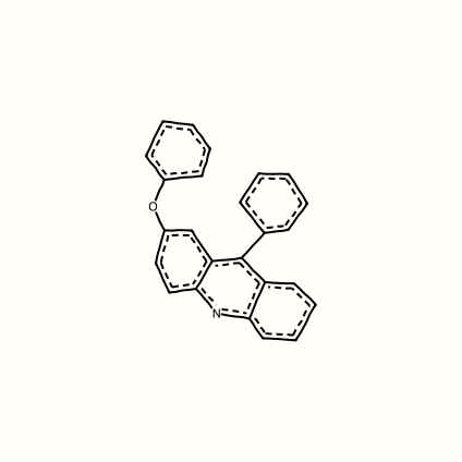 c1ccc(Oc2ccc3nc4ccccc4c(-c4ccccc4)c3c2)cc1